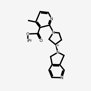 Cc1ccnc(N2CC[C@@H](N3Cc4ccncc4C3)C2)c1C(=O)OC(C)C